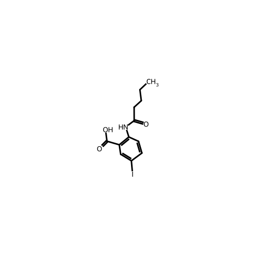 CCCCC(=O)Nc1ccc(I)cc1C(=O)O